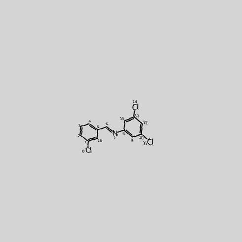 Clc1cccc(C=Nc2cc(Cl)cc(Cl)c2)c1